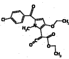 CCOC(=O)C(=C=O)c1c(OCC)cc(C(=O)c2ccc(Cl)cc2)n1C